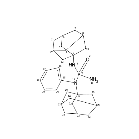 NP(=O)(NC12CC3CC(CC(C3)C1)C2)N(c1ccccc1)C12CC3CC(CC(C3)C1)C2